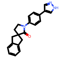 O=C1N(c2ccc(-c3cn[nH]c3)cc2)CCC12Cc1ccccc1C2